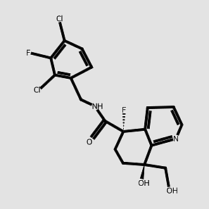 O=C(NCc1ccc(Cl)c(F)c1Cl)[C@]1(F)CC[C@@](O)(CO)c2ncccc21